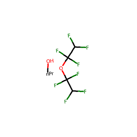 CCCO.FC(F)C(F)(F)OC(F)(F)C(F)F